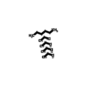 CCCCCC.ClCCl.ClCCl.ClCCl.ClCCl